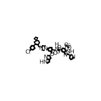 O=C(NS(=O)(=O)c1cc([N+](=O)[O-])c2[nH]c(-c3cccnc3)nc2c1)c1ccc(N2CCN(CC3=C(c4ccc(Cl)cc4)CC4(CCC4)CC3)CC2)cc1Oc1cnc2[nH]ccc2c1